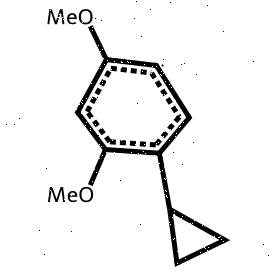 COc1[c]cc(C2CC2)c(OC)c1